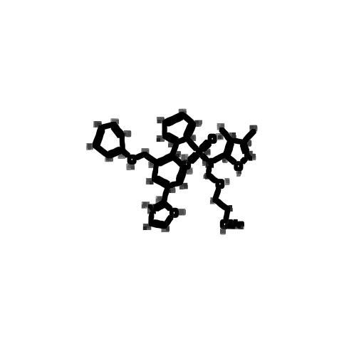 COCCOCN(c1onc(C)c1C)S(=O)(=O)c1ccccc1-c1ccc(-c2ncco2)cc1COc1ccccc1